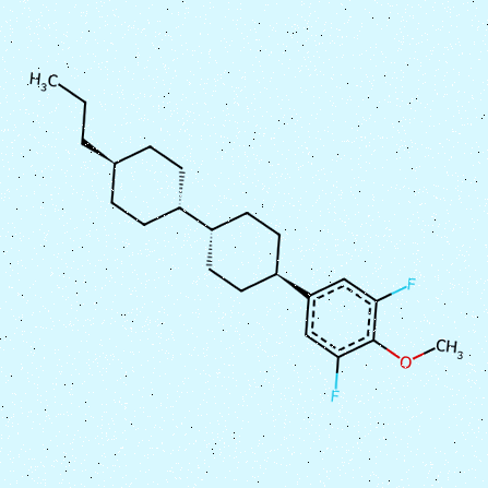 CCC[C@H]1CC[C@H]([C@H]2CC[C@H](c3cc(F)c(OC)c(F)c3)CC2)CC1